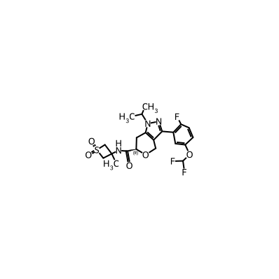 CC(C)n1nc(-c2cc(OC(F)F)ccc2F)c2c1C[C@H](C(=O)NC1(C)CS(=O)(=O)C1)OC2